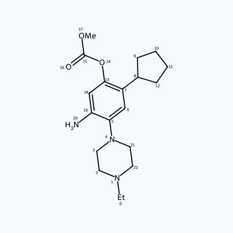 CCN1CCN(c2cc(C3CCCC3)c(OC(=O)OC)cc2N)CC1